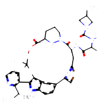 CCn1c(-c2cccnc2[C@H](C)OC)c2c3cc(ccc31)-c1csc(n1)C[C@H](NC(=O)C(C(C)C)N(C)C(=O)N1CC(OC)C1)C(=O)N1CCC[C@H](N1)C(=O)OCC(C)(C)C2